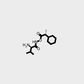 CC(C)[C@@H](N)C(=O)NOC(=O)[C@H](C)C1CCCCC1